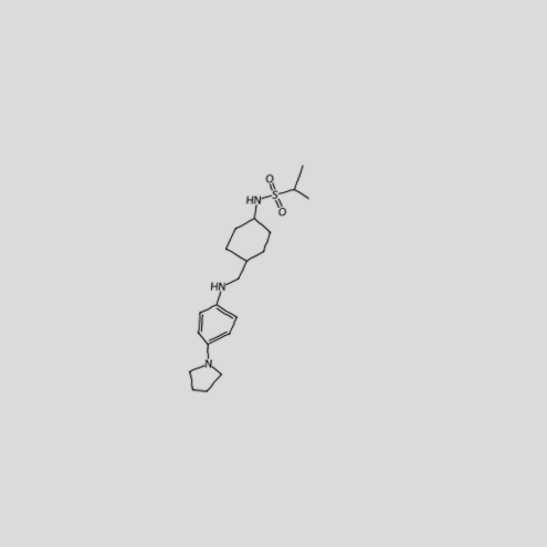 CC(C)S(=O)(=O)NC1CCC(CNc2ccc(N3CCCC3)cc2)CC1